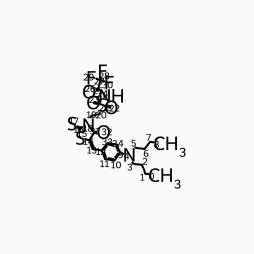 CCCCN(CCCC)c1ccc(C=C2SC(=S)N(CCS(=O)(=O)NC(=O)C(F)(F)F)C2=O)cc1